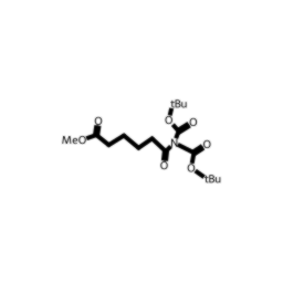 COC(=O)CCCCC(=O)N(C(=O)OC(C)(C)C)C(=O)OC(C)(C)C